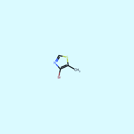 Cc1scnc1Br